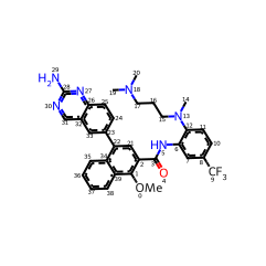 COc1c(C(=O)Nc2cc(C(F)(F)F)ccc2N(C)CCCN(C)C)cc(-c2ccc3nc(N)ncc3c2)c2ccccc12